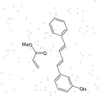 C=CC(=O)OC.Oc1cccc(C=CC=Cc2ccccc2)c1